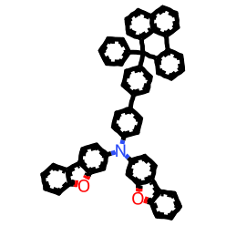 c1ccc(C2(c3ccc(-c4ccc(N(c5ccc6c(c5)oc5ccccc56)c5ccc6c(c5)oc5ccccc56)cc4)cc3)c3ccccc3-c3cccc4cccc2c34)cc1